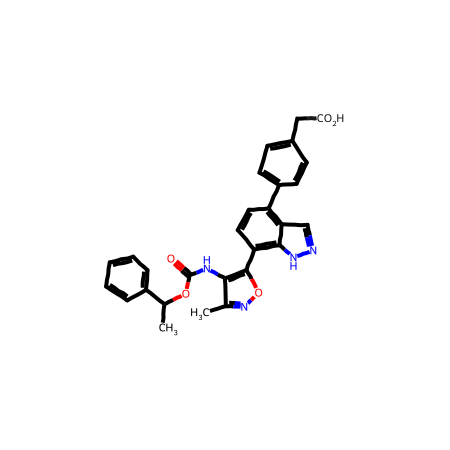 Cc1noc(-c2ccc(-c3ccc(CC(=O)O)cc3)c3cn[nH]c23)c1NC(=O)OC(C)c1ccccc1